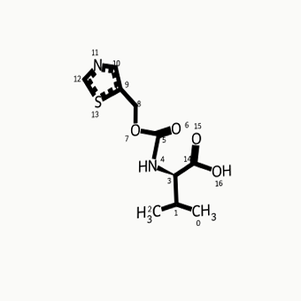 CC(C)[C@@H](NC(=O)OCc1cncs1)C(=O)O